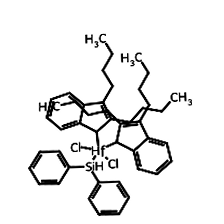 CCCCC1=C(CCCC)[CH]([Hf]([Cl])([Cl])([CH]2C(CCCC)=C(CCCC)c3ccccc32)[SiH](c2ccccc2)c2ccccc2)c2ccccc21